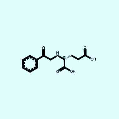 O=C(O)CC[C@@H](NCC(=O)c1ccccc1)C(=O)O